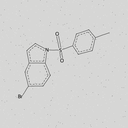 Cc1ccc(S(=O)(=O)n2ccc3cc(Br)ccc32)cc1